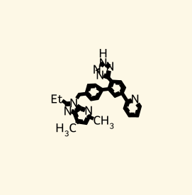 CCc1nc2c(C)cc(C)nc2n1Cc1ccc(-c2cc(-c3ccccn3)ccc2-c2nn[nH]n2)cc1